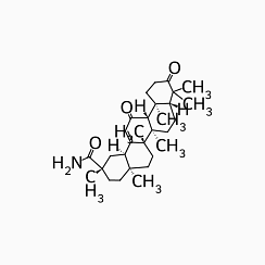 CC1(C)C(=O)CC[C@]2(C)[C@H]3C(=O)C=C4[C@@H]5C[C@@](C)(C(N)=O)CC[C@]5(C)CC[C@@]4(C)[C@]3(C)CC[C@@H]12